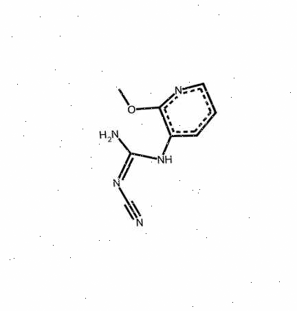 COc1ncccc1N/C(N)=N\C#N